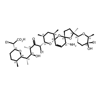 CCC(C(=O)[C@@H](C)[C@@H](O)[C@H](C)[C@@H]1O[C@@H](C(CC)C(=O)O)CC[C@@H]1C)[C@H]1O[C@]2(C=C[C@@H](N)[C@]3(CC[C@@](C)([C@H]4CC[C@](O)(CC)[C@H](C)O4)O3)O2)[C@H](C)C[C@@H]1C